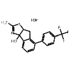 Br.CC1=NC2(O)c3cccc(-c4ccc(C(F)(F)F)cc4)c3CC2S1